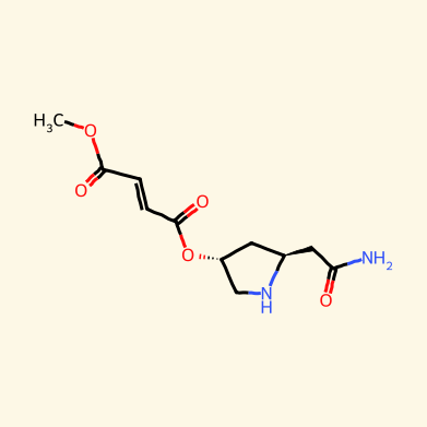 COC(=O)/C=C/C(=O)O[C@H]1CN[C@H](CC(N)=O)C1